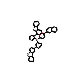 c1cc(-c2ccc3sc4ccccc4c3c2)cc(N(c2ccc(-c3ccc4ccccc4c3)cc2)c2ccccc2-c2cccc3c2sc2ccccc23)c1